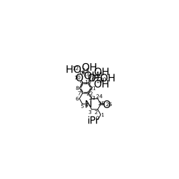 CC(C)CC1CN2CCc3cc(OC(O)(O)O)c(OC(O)(O)O)cc3C2CC1=O